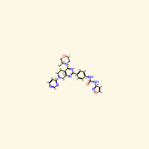 C[C@H]1COCCN1c1nc(-c2ccc(NC(=O)Nc3ccon3)cc2)nc2c1CCN(c1ccncn1)C2